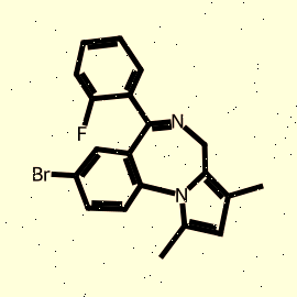 Cc1cc(C)n2c1CN=C(c1ccccc1F)c1cc(Br)ccc1-2